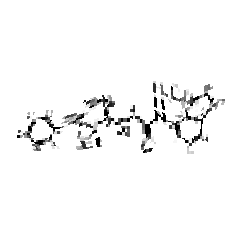 CCn1c(SCC(=O)Nc2cccc3c2N(C)CC3)nnc1-c1ccccc1